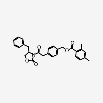 Cc1ccc(C(=O)OCc2ccc(CC(=O)N3C(=O)OCC3Cc3ccccc3)cc2)c(C)c1